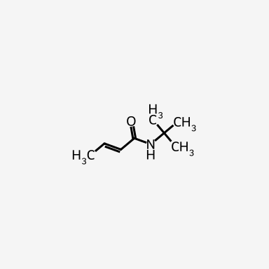 CC=CC(=O)NC(C)(C)C